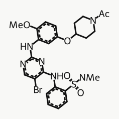 CNS(=O)(=O)c1ccccc1Nc1nc(Nc2cc(OC3CCN(C(C)=O)CC3)ccc2OC)ncc1Br